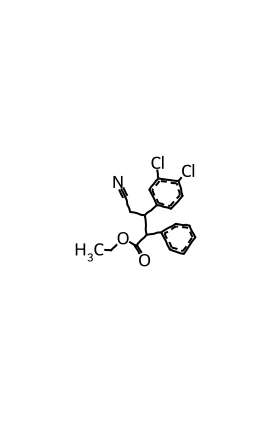 CCOC(=O)C(c1ccccc1)C(CC#N)c1ccc(Cl)c(Cl)c1